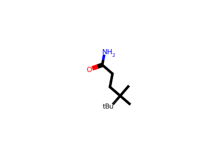 CC(C)(C)C(C)(C)CCC(N)=O